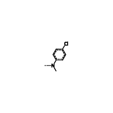 [CH2]N(C)c1ccc(Cl)cc1